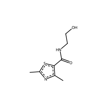 Cc1nc(C)c(C(=O)NCCO)s1